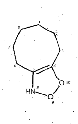 C1CCCC2=C(CC1)NOO2